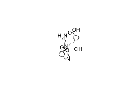 Cl.NCCCN(CCCc1cccc(C(=O)O)c1)S(=O)(=O)c1cccc2cnccc12